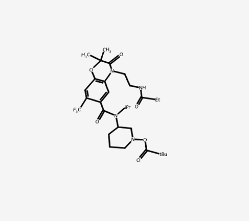 CCC(=O)NCCN1C(=O)C(C)(C)Oc2cc(C(F)(F)F)c(C(=O)N(C(C)C)C3CCCN(OC(=O)C(C)(C)C)C3)cc21